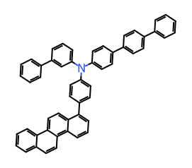 c1ccc(-c2ccc(-c3ccc(N(c4ccc(-c5cccc6c5ccc5c7ccccc7ccc65)cc4)c4cccc(-c5ccccc5)c4)cc3)cc2)cc1